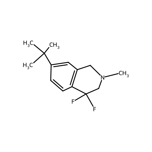 CN1Cc2cc(C(C)(C)C)ccc2C(F)(F)C1